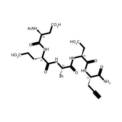 C#CC[C@H](NC(=O)[C@H](CC(=O)O)NC(=O)[C@@H](NC(=O)[C@H](CCC(=O)O)NC(=O)[C@H](CC(=O)O)NC(C)=O)C(C)C)C(N)=O